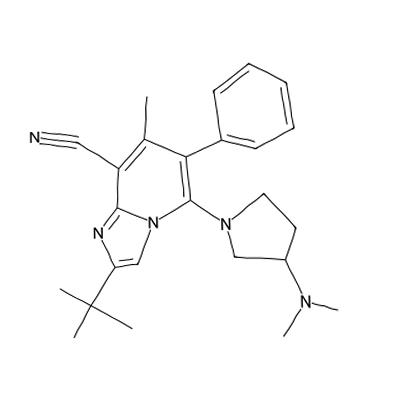 Cc1c(-c2ccccc2)c(N2CCC(N(C)C)C2)n2cc(C(C)(C)C)nc2c1C#N